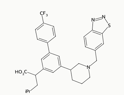 CC(C)CC(C(=O)O)c1cc(-c2ccc(C(F)(F)F)cc2)cc(C2CCCN(Cc3ccc4nnsc4c3)C2)c1